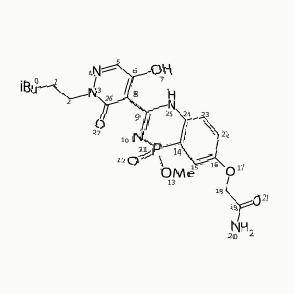 CCC(C)CCn1ncc(O)c(C2=NP(=O)(OC)c3cc(OCC(N)=O)ccc3N2)c1=O